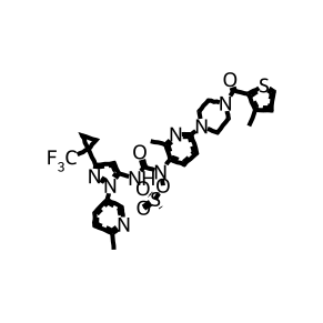 Cc1ccc(-n2nc(C3(C(F)(F)F)CC3)cc2NC(=O)N(OS(C)(=O)=O)c2ccc(N3CCN(C(=O)c4sccc4C)CC3)nc2C)cn1